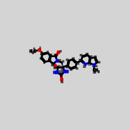 COc1ccc2c(c1)C(=O)N(C[C@]1(c3ccc(-c4ccc5ccn(C)c5n4)cc3)NC(=O)NC1=O)C2